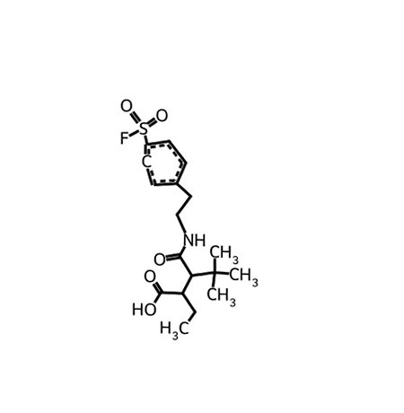 CCC(C(=O)O)C(C(=O)NCCc1ccc(S(=O)(=O)F)cc1)C(C)(C)C